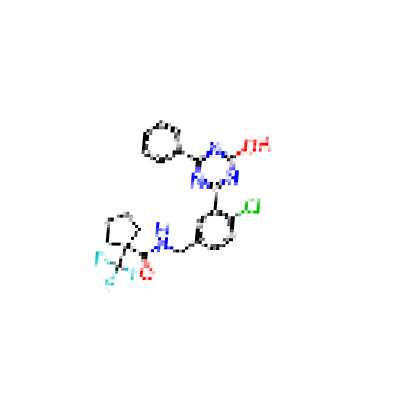 O=C(NCc1ccc(Cl)c(-c2nc(O)nc(-c3ccccc3)n2)c1)C1(C(F)(F)F)CCCC1